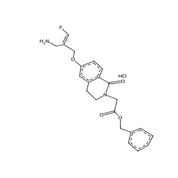 Cl.NC/C(=C\F)COc1ccc2c(c1)CCN(CC(=O)OCc1ccccc1)C2=O